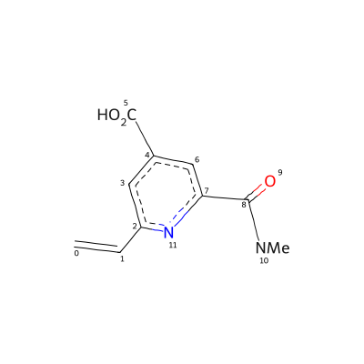 C=Cc1cc(C(=O)O)cc(C(=O)NC)n1